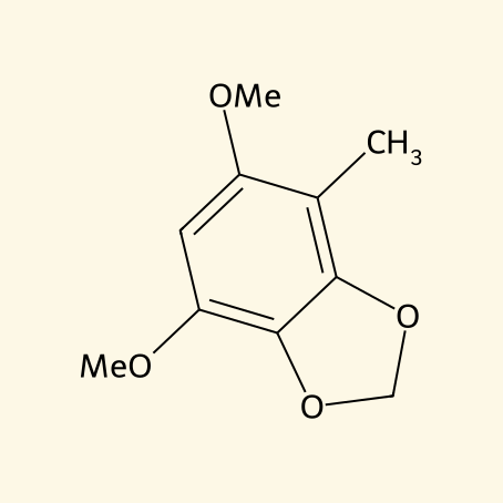 COc1cc(OC)c2c(c1C)OCO2